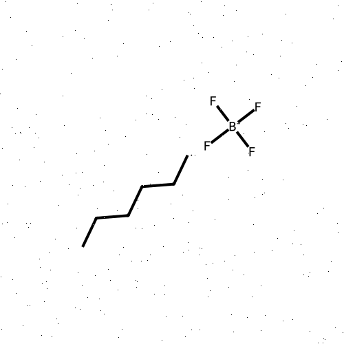 F[B-](F)(F)F.[CH2]CCCCC